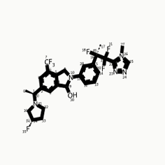 C[C@@H](c1cc2c(c(C(F)(F)F)c1)CN(c1cccc([C@@](C)(F)C(F)(F)c3nncn3C)c1)C2O)N1CC[C@H](F)C1